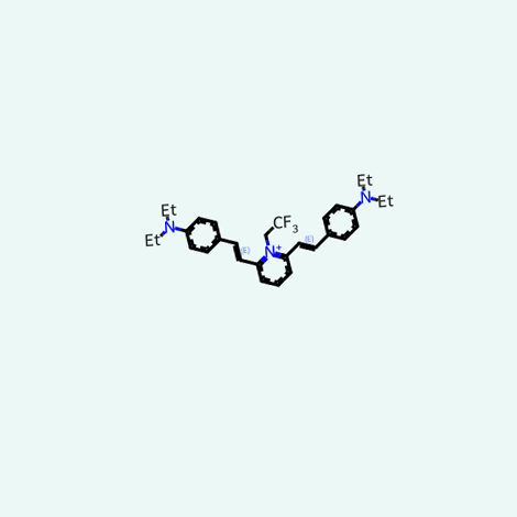 CCN(CC)c1ccc(/C=C/c2cccc(/C=C/c3ccc(N(CC)CC)cc3)[n+]2CC(F)(F)F)cc1